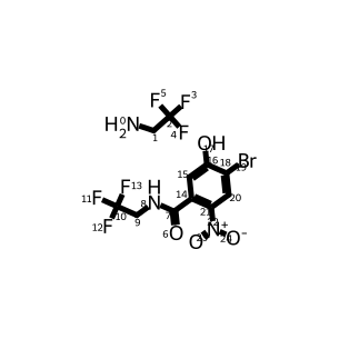 NCC(F)(F)F.O=C(NCC(F)(F)F)c1cc(O)c(Br)cc1[N+](=O)[O-]